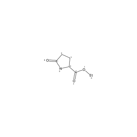 CCOC(=O)C1CCC(=O)[N]1